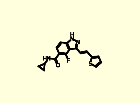 O=C(NC1CC1)c1ccc2[nH]nc(C=Cc3cccs3)c2c1F